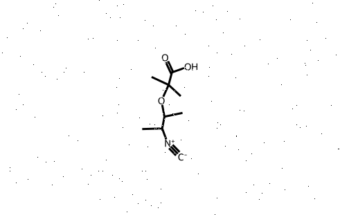 [C-]#[N+]C(C)C(C)OC(C)(C)C(=O)O